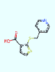 O=C(O)c1ccsc1SCc1ccncc1